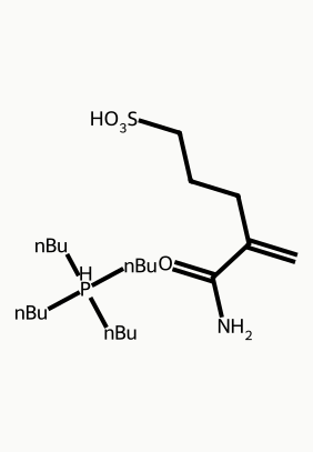 C=C(CCCS(=O)(=O)O)C(N)=O.CCCC[PH](CCCC)(CCCC)CCCC